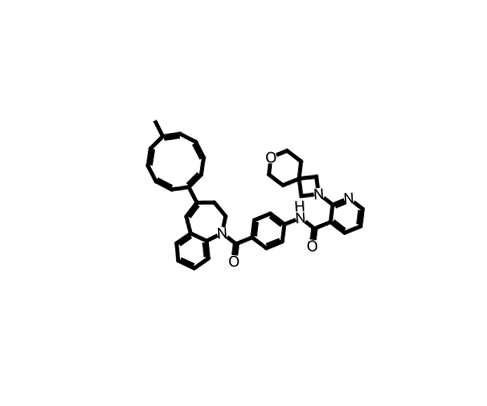 Cc1ccccc(C2=Cc3ccccc3N(C(=O)c3ccc(NC(=O)c4cccnc4N4CC5(CCOCC5)C4)cc3)CC2)cccc1